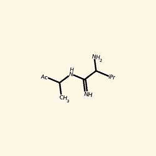 CC(=O)C(C)NC(=N)C(N)C(C)C